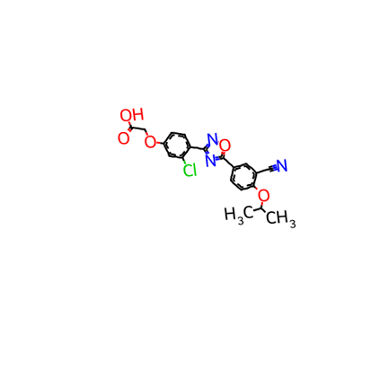 CC(C)Oc1ccc(-c2nc(-c3ccc(OCC(=O)O)cc3Cl)no2)cc1C#N